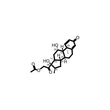 CC(=O)OCC(=O)[C@@]1(O)[C@H](C)C[C@H]2[C@@H]3CCC4=CC(=O)C=C[C@]4(C)[C@H]3[C@@H](O)C[C@@]21C